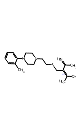 CC(=N)/C(CSCCN1CCN(c2ccccc2C)CC1)=C(/C)O